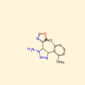 COc1cccc(OC)c1C1N=NN(N)C1c1cocn1